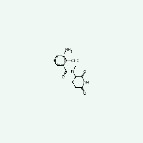 CN(C(=O)c1cccc(N)c1C=O)C1CCC(=O)NC1=O